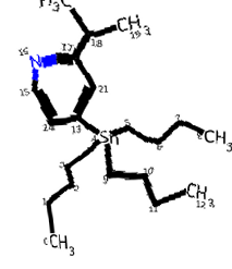 CCC[CH2][Sn]([CH2]CCC)([CH2]CCC)[c]1ccnc(C(C)C)c1